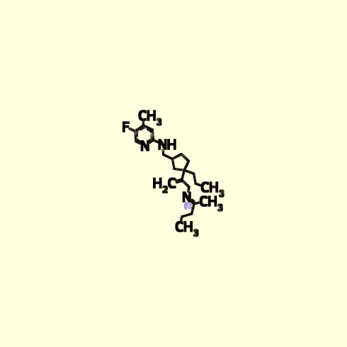 C=C(C/N=C(\C)CCC)C1(CCC)CCC(CNc2cc(C)c(F)cn2)C1